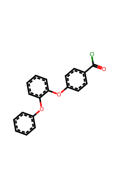 O=C(Cl)c1ccc(Oc2ccccc2Oc2ccccc2)cc1